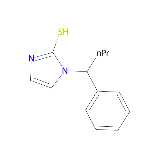 CCCC(c1ccccc1)n1ccnc1S